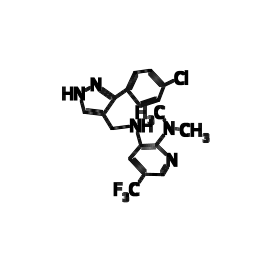 CN(C)c1ncc(C(F)(F)F)cc1NCc1c[nH]nc1-c1ccc(Cl)cc1